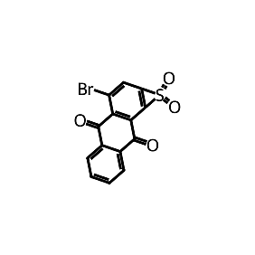 O=C1c2ccccc2C(=O)c2c1c(Br)cc1c2S1(=O)=O